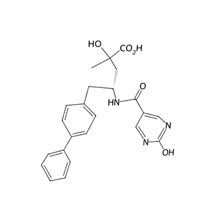 CC(O)(C[C@@H](Cc1ccc(-c2ccccc2)cc1)NC(=O)c1cnc(O)nc1)C(=O)O